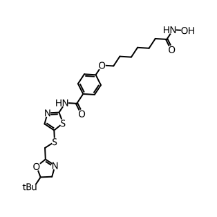 CC(C)(C)C1CN=C(CSc2cnc(NC(=O)c3ccc(OCCCCCCC(=O)NO)cc3)s2)O1